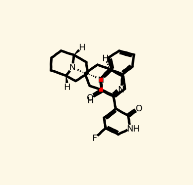 O=c1[nH]cc(F)cc1-c1nc2ccccc2n([C@H]2C[C@H]3CCC[C@@H](C2)N3[C@H]2C[C@@H]3CCC[C@@H](C3)C2)c1=O